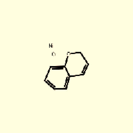 C1=Cc2ccccc2OC1.[Cr].[Ni]